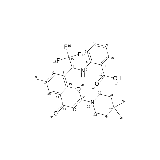 Cc1cc(C(Nc2ccccc2C(=O)O)C(F)(F)F)c2oc(N3CCC(C)(C)CC3)cc(=O)c2c1